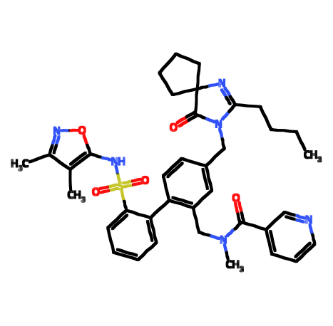 CCCCC1=NC2(CCCC2)C(=O)N1Cc1ccc(-c2ccccc2S(=O)(=O)Nc2onc(C)c2C)c(CN(C)C(=O)c2cccnc2)c1